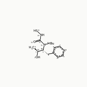 C[C@H](O)[C@@H](Cc1ccncc1)N(C(=O)NS)C(C)(C)C